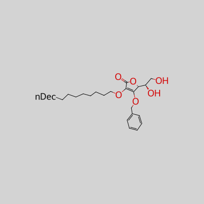 CCCCCCCCCCCCCCCCCCOC1=C(OCc2ccccc2)[C@@H]([C@H](O)CO)OC1=O